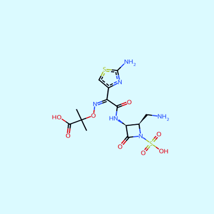 CC(C)(O/N=C(\C(=O)N[C@@H]1C(=O)N(S(=O)(=O)O)[C@@H]1CN)c1csc(N)n1)C(=O)O